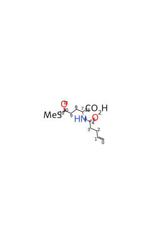 C=CCCC(=O)NC(CCC(=O)SC)C(=O)O